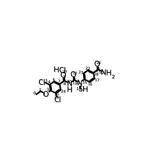 CCOc1c(Cl)cc(C(=O)NC(=O)N(S)c2ccc(C(N)=O)cc2)cc1Cl.Cl